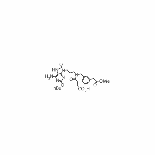 CCCCOc1nc(N)c2[nH]c(=O)n(CCCN(Cc3cccc(CC(=O)OC)c3)C(=O)CCC(=O)O)c2n1